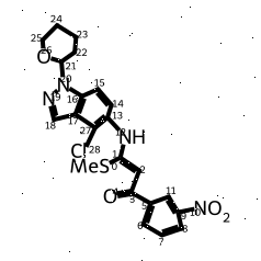 CS/C(=C\C(=O)c1cccc([N+](=O)[O-])c1)Nc1ccc2c(cnn2C2CCCCO2)c1Cl